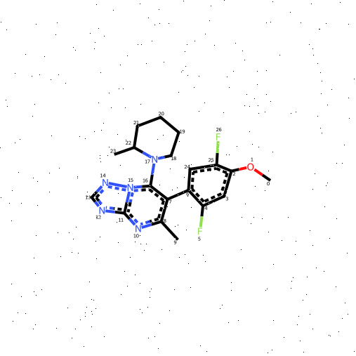 COc1cc(F)c(-c2c(C)nc3ncnn3c2N2CCCCC2C)cc1F